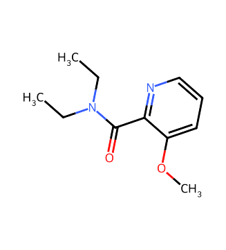 CCN(CC)C(=O)c1ncccc1OC